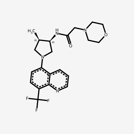 C[C@@H]1CN(c2ccc(C(F)(F)F)c3ncccc23)C[C@@H]1NC(=O)CN1CCOCC1